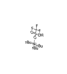 CCCC[N+](C)(CCCC)CCCC.O=S(=O)(O)C(F)(F)F